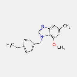 CCc1ccc(Cn2cnc3cc(C)cc(OC)c32)cc1